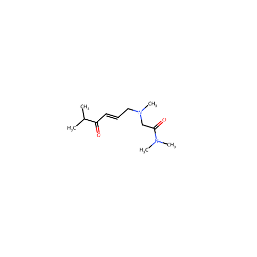 CC(C)C(=O)/C=C/CN(C)CC(=O)N(C)C